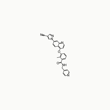 Cc1c(Oc2ccnc3cc(-n4cc(C#N)cn4)ccc23)cccc1C(=O)NCc1ccncc1